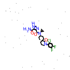 NC(=O)c1[nH]cnc1C(=O)N(C1CC1)[C@H]1CC[C@]2(CCCN(c3cc(F)c(F)cc3Cl)C2=O)CC1